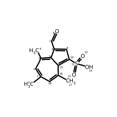 Cc1cc(C)c2c(C=O)cc(S(=O)(=O)O)c-2c(C)c1